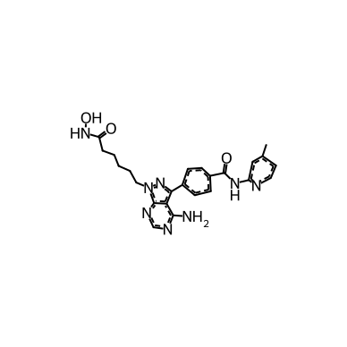 Cc1ccnc(NC(=O)c2ccc(-c3nn(CCCCCC(=O)NO)c4ncnc(N)c34)cc2)c1